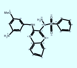 COc1cc(N)cc(Nc2nc3ccccc3nc2N(N)S(=O)(=O)c2ccccc2)c1